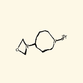 CC(C)N1CCC(N2COC2)CC1